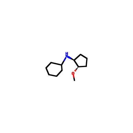 CO[C@H]1CCC[C@@H]1NC1CCCCC1